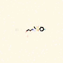 O=C(O)C(O)=CC(=O)c1nc(S(=O)(=O)c2ccc(F)cc2)cs1